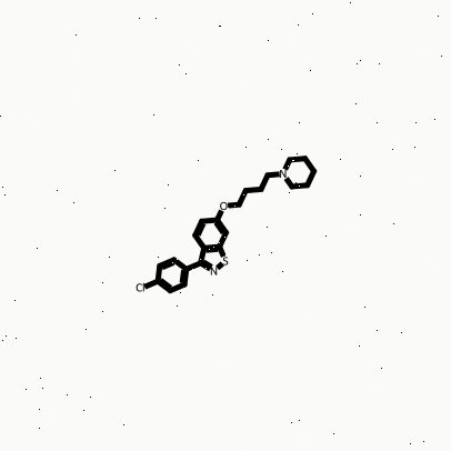 Clc1ccc(-c2nsc3cc(OCCCCN4CCCCC4)ccc23)cc1